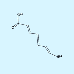 CCC(C)/C=C/C=C/C=C/C(=O)C(C)(C)C